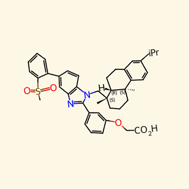 CC(C)c1ccc2c(c1)CC[C@H]1[C@@](C)(Cn3c(-c4cccc(OCC(=O)O)c4)nc4cc(-c5ccccc5S(C)(=O)=O)ccc43)CCC[C@]21C